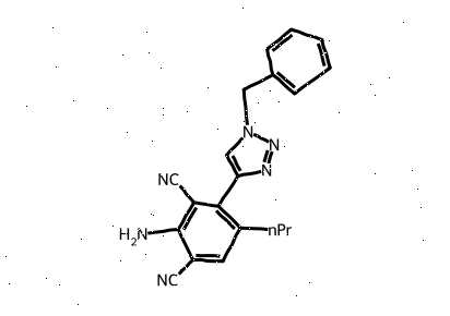 CCCc1cc(C#N)c(N)c(C#N)c1-c1cn(Cc2ccccc2)nn1